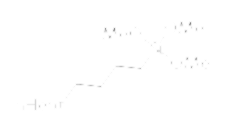 [CH2]CCCCCCCCC[CH][Si](OC)(OC)OC